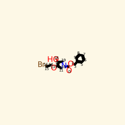 O=C(OCc1ccccc1)N1C[C@H](OCCBr)[C@@H](O)C1